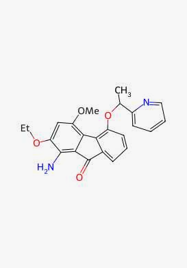 CCOc1cc(OC)c2c(c1N)C(=O)c1cccc(OC(C)c3ccccn3)c1-2